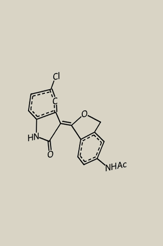 CC(=O)Nc1ccc2c(c1)CO/C2=C1/C(=O)Nc2ccc(Cl)cc21